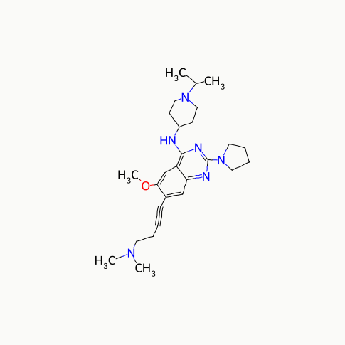 COc1cc2c(NC3CCN(C(C)C)CC3)nc(N3CCCC3)nc2cc1C#CCCN(C)C